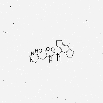 O=C(Nc1c2c(cc3c1CCC3)CCC2)NC(Cc1cncnc1)C(=O)O